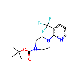 CC(C)(C)OC(=O)N1CCN(c2ncccc2C(F)(F)F)CC1